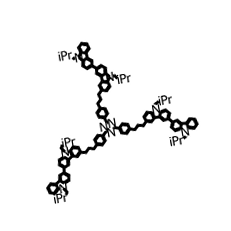 CC(C)Cn1c2ccccc2c2cc(-c3ccc4c(c3)c3cc(CCCc5ccc(-c6nc(-c7ccc(CCCc8ccc9c(c8)c8cc(-c%10ccc%11c(c%10)c%10ccccc%10n%11CC(C)C)ccc8n9CC(C)C)cc7)nc(-c7ccc(CCCc8ccc9c(c8)c8cc(-c%10ccc%11c(c%10)c%10ccccc%10n%11CC(C)C)ccc8n9CC(C)C)cc7)n6)cc5)ccc3n4CC(C)C)ccc21